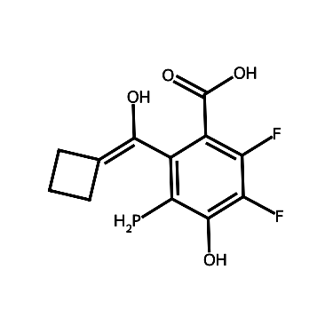 O=C(O)c1c(F)c(F)c(O)c(P)c1C(O)=C1CCC1